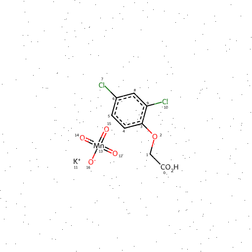 O=C(O)COc1ccc(Cl)cc1Cl.[K+].[O]=[Mn](=[O])(=[O])[O-]